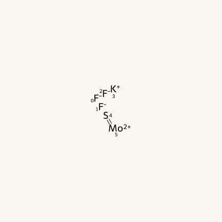 [F-].[F-].[F-].[K+].[S]=[Mo+2]